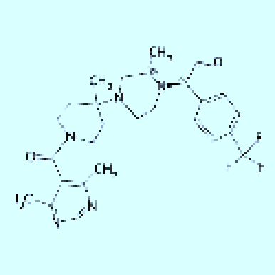 Cc1ncnc(C)c1C(=O)N1CCC(C)(N2CCN([C@@H](C=O)c3ccc(C(F)(F)F)cc3)[C@@H](C)C2)CC1